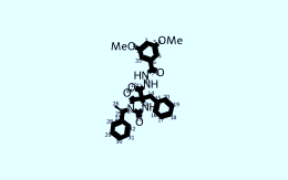 COc1cc(OC)cc(C(=O)NNC(=O)C2(Cc3ccccc3)NC(=O)N([C@H](C)c3ccccc3)C2=O)c1